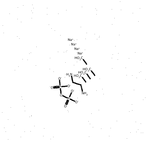 CC(=O)O.CC(=O)O.CC(=O)O.CC(=O)O.NCCN.O=P([O-])([O-])OP(=O)([O-])[O-].[Na+].[Na+].[Na+].[Na+]